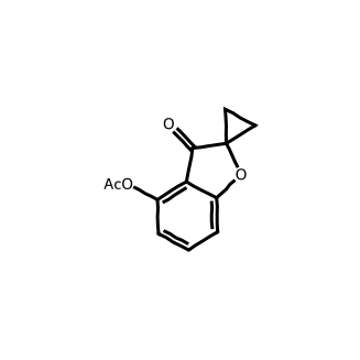 CC(=O)Oc1cccc2c1C(=O)C1(CC1)O2